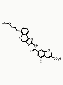 CCCOCCCc1cccc2c1OCc1sc(NC(=O)c3cc(Cl)c(C=C(C)C(=O)O)c(Cl)c3)nc1-2